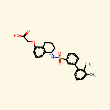 Cc1cccc(-c2cccc(S(=O)(=O)N[C@@H]3CCCc4c(OCC(=O)O)cccc43)c2)c1C